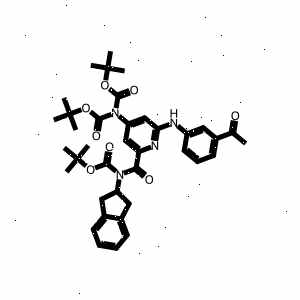 CC(=O)c1cccc(Nc2cc(N(C(=O)OC(C)(C)C)C(=O)OC(C)(C)C)cc(C(=O)N(C(=O)OC(C)(C)C)C3Cc4ccccc4C3)n2)c1